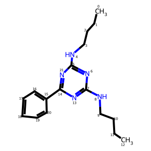 CCCCNc1nc(NCCCC)nc(-c2ccccc2)n1